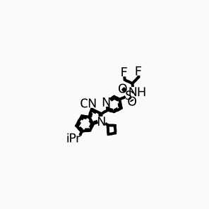 CC(C)c1ccc2c(C#N)c(-c3ccc(S(=O)(=O)NC(CF)CF)cn3)n(C3CCC3)c2c1